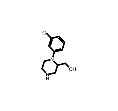 OCC1CNCCN1c1cccc(Cl)c1